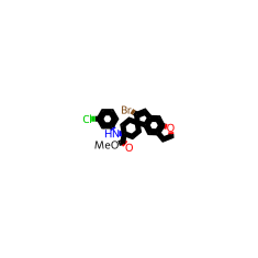 COC(=O)C1(Nc2cccc(Cl)c2)CCC2(CC1)C(Br)=Cc1cc3c(cc12)CCO3